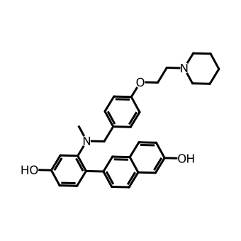 CN(Cc1ccc(OCCN2CCCCC2)cc1)c1cc(O)ccc1-c1ccc2cc(O)ccc2c1